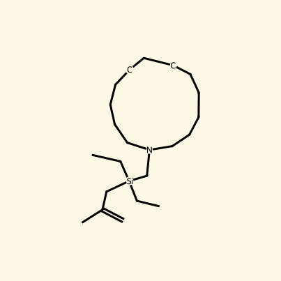 C=C(C)C[Si](CC)(CC)CN1CCCCCCCCCCCC1